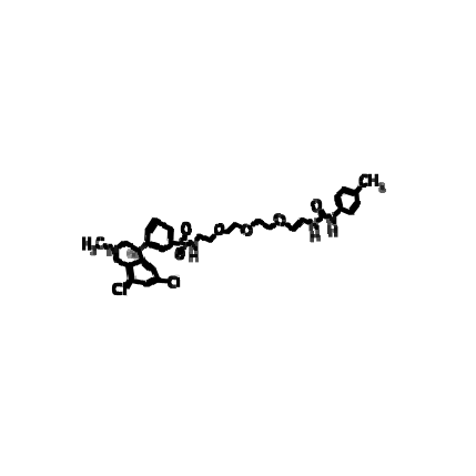 Cc1ccc(NC(=O)NCCOCCOCCOCCNS(=O)(=O)c2cccc([C@@H]3CN(C)Cc4c(Cl)cc(Cl)cc43)c2)cc1